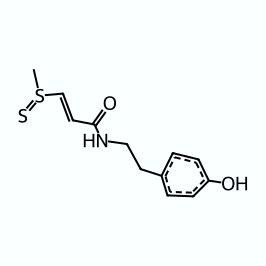 CS(=S)C=CC(=O)NCCc1ccc(O)cc1